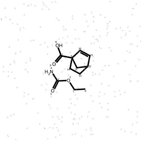 CCOC(N)=O.O=C(O)C12C=CC(CC1)C2